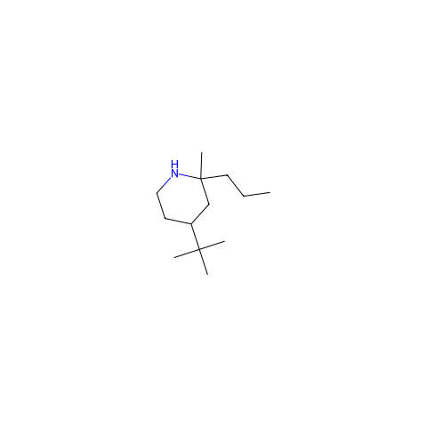 CCCC1(C)CC(C(C)(C)C)CCN1